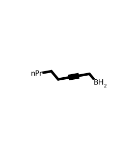 BCC#CCCCCC